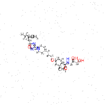 Cc1cc(OCCCC2CCN(c3noc(C4CC4(C)C)n3)CC2)ccc1C(=O)NC[C@H](O)CO